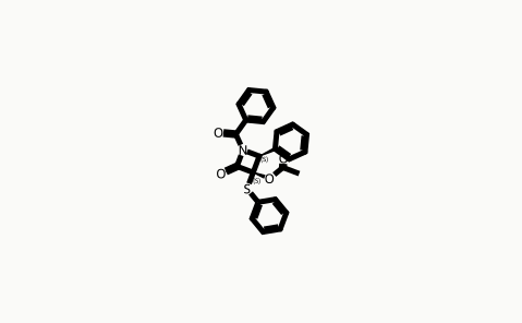 CC(=O)O[C@@]1(Sc2ccccc2)C(=O)N(C(=O)c2ccccc2)[C@H]1c1ccccc1